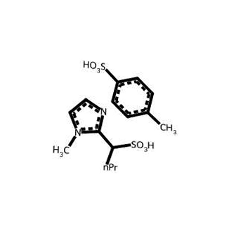 CCCC(c1nccn1C)S(=O)(=O)O.Cc1ccc(S(=O)(=O)O)cc1